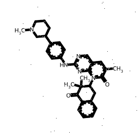 Cc1cc2cnc(Nc3ccc(C4CCCN(C)C4)cc3)nc2n(C2Cc3ccccc3C(=O)C2(C)C)c1=O